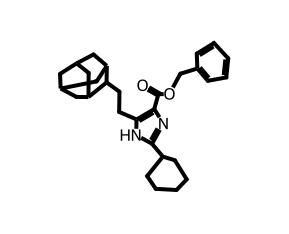 O=C(OCc1ccccc1)c1nc(C2CCCCC2)[nH]c1CCC1C2CC3CC(C2)CC1C3